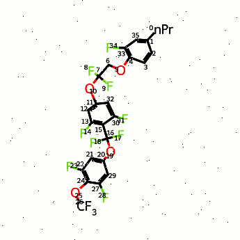 CCCc1ccc(OCC(F)(F)Oc2cc(F)c(C(F)(F)Oc3cc(F)c(OC(F)(F)F)c(F)c3)c(F)c2)c(F)c1